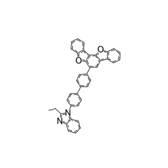 CCc1nc2ccccc2n1-c1ccc(-c2ccc(-c3cc4c5ccccc5oc4c4c3oc3ccccc34)cc2)cc1